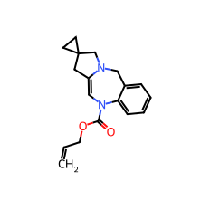 C=CCOC(=O)N1C=C2CC3(CC3)CN2Cc2ccccc21